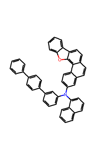 c1ccc(-c2ccc(-c3cccc(N(c4ccc5c(ccc6ccc7c8ccccc8oc7c65)c4)c4cccc5ccccc45)c3)cc2)cc1